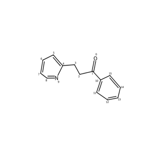 O=C(CCc1ccccn1)c1c[c]ccc1